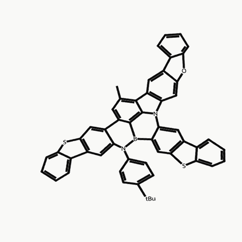 Cc1cc2c3c4c1c1cc5c(cc1n4-c1cc4c(cc1B3N(c1ccc(C(C)(C)C)cc1)c1cc3c(cc1-2)sc1ccccc13)sc1ccccc14)oc1ccccc15